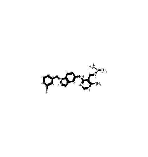 CN(C)/N=C/c1c(N)ncnc1Nc1ccc2c(cnn2Cc2cccc(F)c2)c1